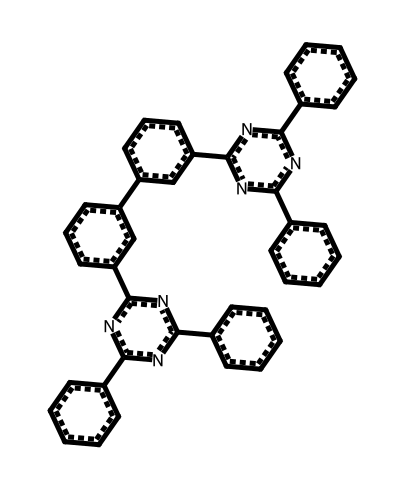 c1ccc(-c2nc(-c3ccccc3)nc(-c3cccc(-c4cccc(-c5nc(-c6ccccc6)nc(-c6ccccc6)n5)c4)c3)n2)cc1